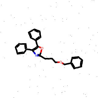 c1ccc(COCCCc2nc(-c3ccccc3)c(-c3ccccc3)o2)cc1